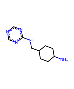 NC1CCC(CNc2ncncn2)CC1